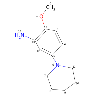 COc1ccc(N2CCCCC2)cc1N